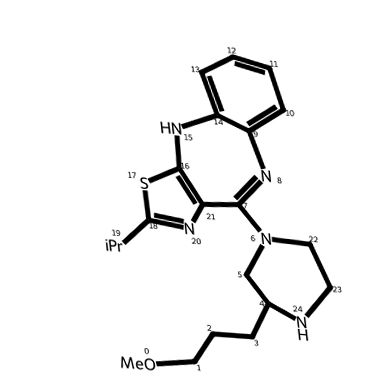 COCCCC1CN(C2=Nc3ccccc3Nc3sc(C(C)C)nc32)CCN1